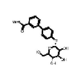 CNC(=O)c1cccc(-c2ccc(O[C@H]3OC(CO)[C@@H](O)C(O)C3O)cc2)c1